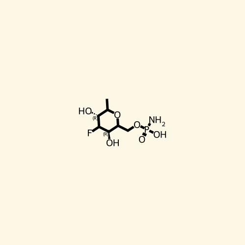 CC1OC(COP(N)(=O)O)[C@@H](O)C(F)[C@@H]1O